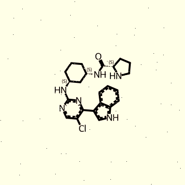 O=C(N[C@H]1CCC[C@H](Nc2ncc(Cl)c(-c3c[nH]c4ccccc34)n2)C1)[C@@H]1CCCN1